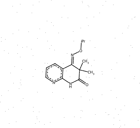 CC(C)ON=C1c2cccnc2NC(=O)C1(C)C